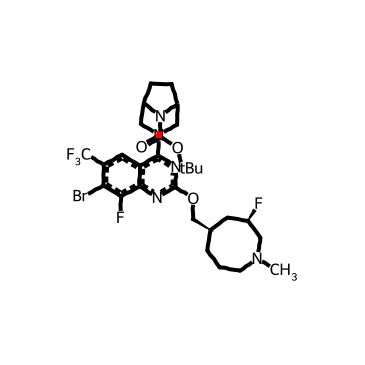 CN1CCC[C@@H](COc2nc(N3CC4CCC(C3)N4C(=O)OC(C)(C)C)c3cc(C(F)(F)F)c(Br)c(F)c3n2)C[C@@H](F)C1